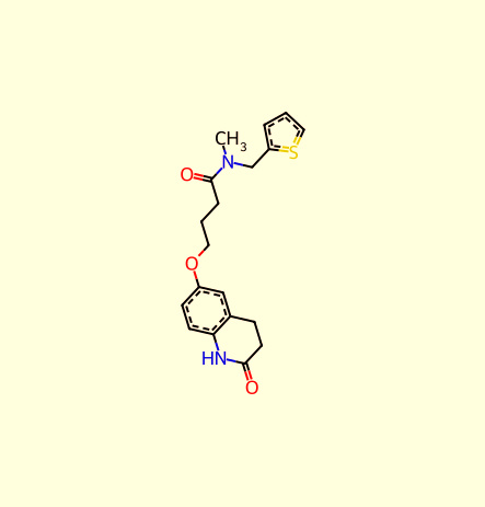 CN(Cc1cccs1)C(=O)CCCOc1ccc2c(c1)CCC(=O)N2